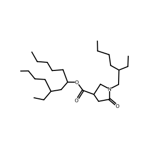 CCCCCC(CC(CC)CCCC)OC(=O)C1CC(=O)N(CC(CC)CCCC)C1